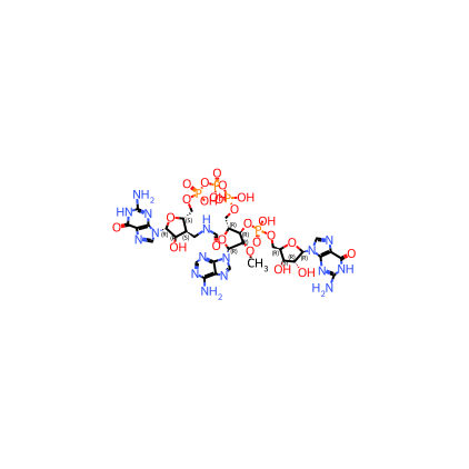 CO[C@@H]1[C@H](OP(=O)(O)OC[C@H]2O[C@@H](n3cnc4c(=O)[nH]c(N)nc43)[C@H](O)[C@@H]2O)[C@@H](COP(=O)(O)OP(=O)(O)OP(=O)(O)OC[C@H]2O[C@@H](n3cnc4c(=O)[nH]c(N)nc43)[C@H](O)[C@@H]2CNC=O)O[C@H]1n1cnc2c(N)ncnc21